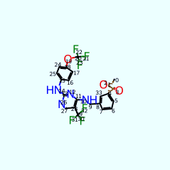 CS(=O)(=O)c1cccc(CNc2nc(Nc3ccc(OC(F)(F)F)cc3)ncc2C(F)(F)F)c1